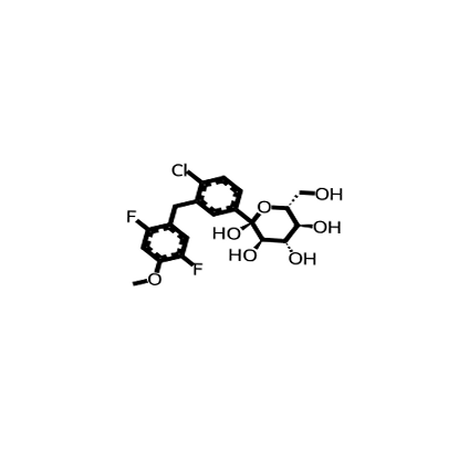 COc1cc(F)c(Cc2cc([C@]3(O)O[C@H](CO)[C@@H](O)[C@H](O)[C@H]3O)ccc2Cl)cc1F